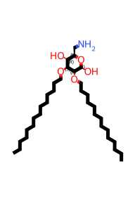 CCCCCCCCCCCCCCO[C@@H]1[C@@H](OCCCCCCCCCCCCCC)[C@H](O)[C@@H](CN)O[C@@H]1O